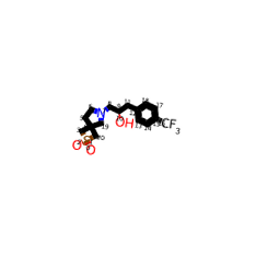 O=S1(=O)CC2(CCN(C[C@@H](O)Cc3ccc(C(F)(F)F)cc3)C2)C1